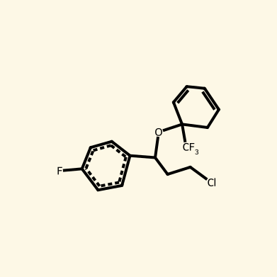 Fc1ccc(C(CCCl)OC2(C(F)(F)F)C=CC=CC2)cc1